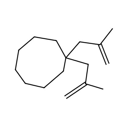 C=C(C)CC1(CC(=C)C)CCCCCCC1